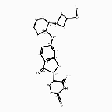 CC(C)OC1CN([C@@H]2CCCC[C@@H]2Oc2ccc3c(c2)CN(C2CCC(=O)NC2=O)C3=O)C1